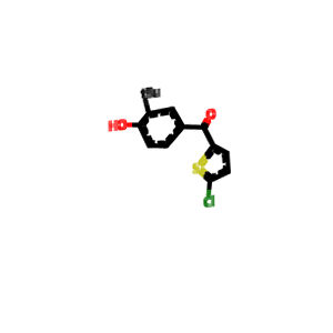 CC(C)(C)c1cc(C(=O)c2ccc(Cl)s2)ccc1O